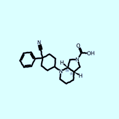 N#CC1(c2ccccc2)CCC(N2CCC[C@H]3CN(C(=O)O)C[C@H]32)CC1